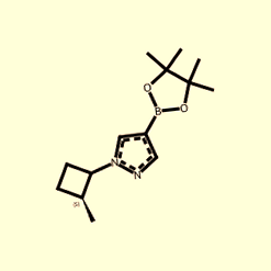 C[C@H]1CCC1n1cc(B2OC(C)(C)C(C)(C)O2)cn1